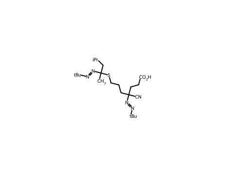 CC(C)CC(C)(N=NC(C)(C)C)SCCCC(C#N)(CCC(=O)O)N=NC(C)(C)C